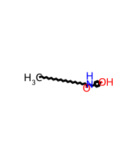 CCCCCCCCCCCCCCCCCCCCC(=O)NCc1ccc(O)cc1